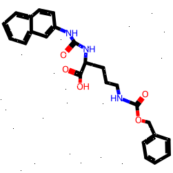 O=C(Nc1ccc2ccccc2c1)NC(CCCNC(=O)OCc1ccccc1)C(=O)O